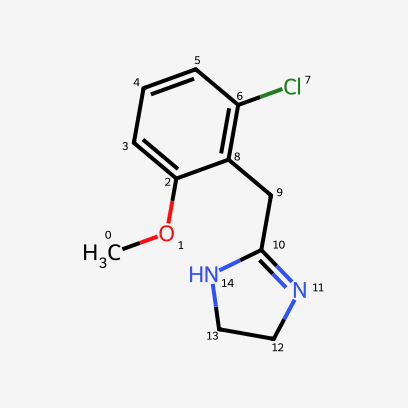 COc1cccc(Cl)c1CC1=NCCN1